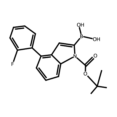 CC(C)(C)OC(=O)n1c(B(O)O)cc2c(-c3ccccc3F)cccc21